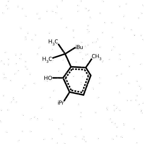 CCC(C)C(C)(C)c1c(C)ccc(C(C)C)c1O